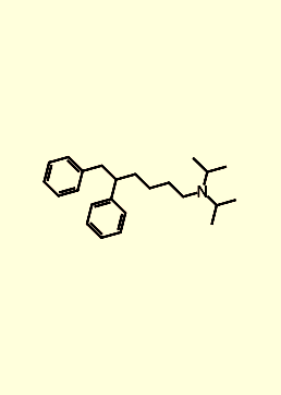 CC(C)N(CCCCC(Cc1ccccc1)c1ccccc1)C(C)C